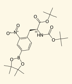 CC(C)(C)OC(=O)N[C@@H](Cc1ccc(B2OC(C)(C)C(C)(C)O2)cc1[N+](=O)[O-])C(=O)OC(C)(C)C